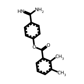 Cc1cccc(C(=O)Oc2ccc(C(=N)N)cc2)c1C